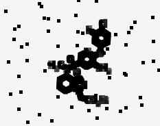 Bc1cc(S(=O)(=O)N(C)[C@@H]2CCCc3c2cnn3CC(=O)OCC)cnc1Oc1ccc(Cl)c(F)c1